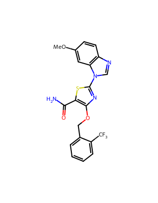 COc1ccc2ncn(-c3nc(OCc4ccccc4C(F)(F)F)c(C(N)=O)s3)c2c1